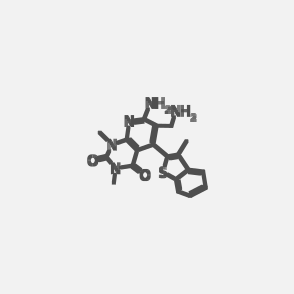 Cc1c(-c2c(CN)c(N)nc3c2c(=O)n(C)c(=O)n3C)sc2ccccc12